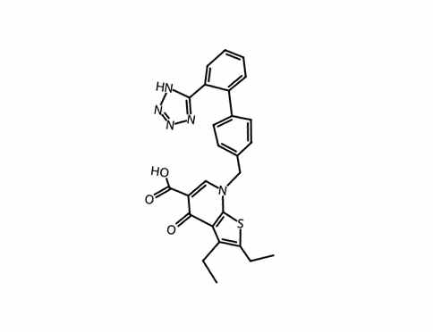 CCc1sc2c(c1CC)c(=O)c(C(=O)O)cn2Cc1ccc(-c2ccccc2-c2nnn[nH]2)cc1